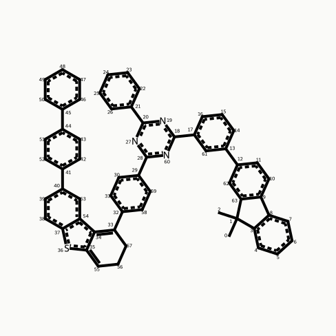 CC1(C)c2ccccc2-c2ccc(-c3cccc(-c4nc(-c5ccccc5)nc(-c5ccc(C6=c7c(sc8ccc(-c9ccc(-c%10ccccc%10)cc9)cc78)=CCC6)cc5)n4)c3)cc21